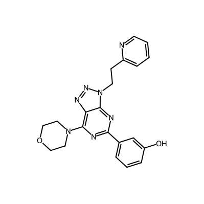 Oc1cccc(-c2nc(N3CCOCC3)c3nnn(CCc4ccccn4)c3n2)c1